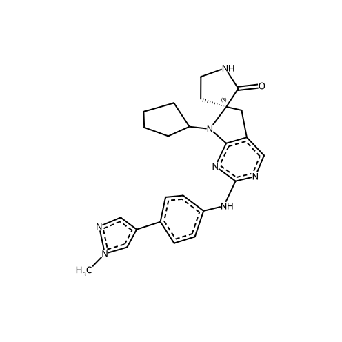 Cn1cc(-c2ccc(Nc3ncc4c(n3)N(C3CCCC3)[C@]3(CCNC3=O)C4)cc2)cn1